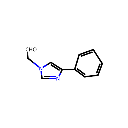 O=CCn1cnc(-c2ccccc2)c1